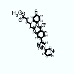 COC(=O)CCCCc1nc2cc(-c3cn(-c4cccnc4)nn3)ccc2c(=O)n1-c1ccc(F)cc1